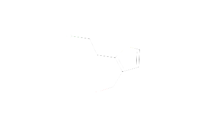 OCc1ccsc1CCCl